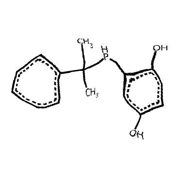 CC(C)(Pc1cc(O)ccc1O)c1ccccc1